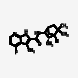 Cc1c(C(=O)N[C@H]2C3C[C@@H]([C@@H]2C)C(C)(C)C3)[nH]c2nccc(F)c12